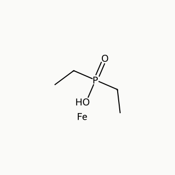 CCP(=O)(O)CC.[Fe]